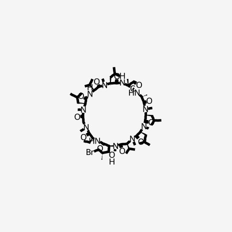 CC[C@@H]1NC(=O)[C@H]([C@H](O)[C@H](C)CBr)N(C)C(=O)[C@H](C(C)C)N(C)C(=O)[C@H](CC(C)C)N(C)C(=O)[C@H](CC(C)C)N(C)C(=O)[C@@H](C)NC[C@@](C)(C=O)NC(=O)[C@H](CC(C)C)N(C)C(=O)[C@H](C(C)C)NC(=O)[C@H](CC(C)C)N(C)C(=O)CN(C)C1=O